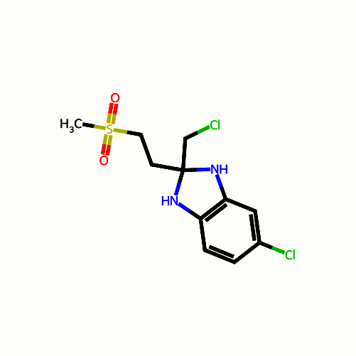 CS(=O)(=O)CCC1(CCl)Nc2ccc(Cl)cc2N1